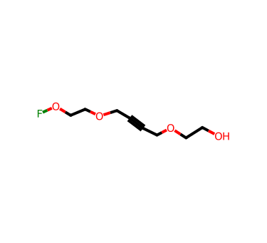 OCCOCC#CCOCCOF